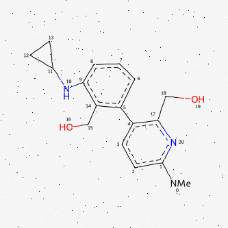 CNc1ccc(-c2cccc(NC3CC3)c2CO)c(CO)n1